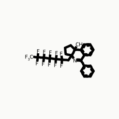 CC12CCCC1(CC(F)(F)C(F)(F)C(F)(F)C(F)(F)C(F)(F)C(F)(F)F)N=C(c1ccccc1)c1ccccc12